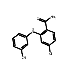 N#Cc1cccc(Nc2cc(Cl)ccc2C(N)=O)c1